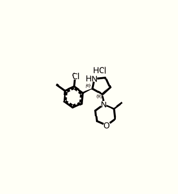 Cc1cccc([C@H]2NCC[C@H]2N2CCOCC2C)c1Cl.Cl